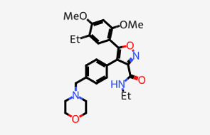 CCNC(=O)c1noc(-c2cc(CC)c(OC)cc2OC)c1-c1ccc(CN2CCOCC2)cc1